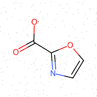 [O]C(=O)c1ncco1